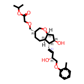 Cc1ccccc1OC[C@H](O)/C=C/[C@@H]1[C@H]2CC[C@H](COCC(=O)OC(C)C)CO[C@H]2C[C@H]1O